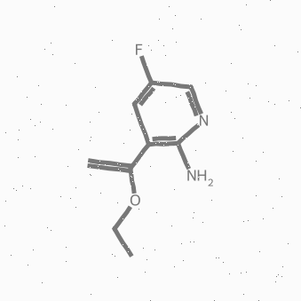 C=C(OCC)c1cc(F)cnc1N